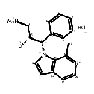 CNC[C@@H](O)[C@H](c1ccccc1)n1ccc2ccnc(C)c21.Cl